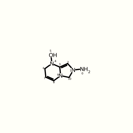 NN1C=C2N(O)CC=CN2C1